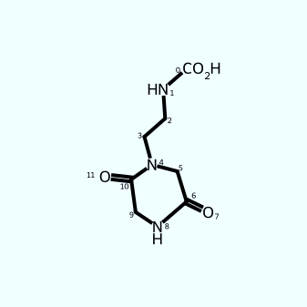 O=C(O)NCCN1CC(=O)NCC1=O